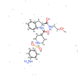 COCCNC(=O)[C@@H]1Cc2ccccc2N1C(=O)C1CCN(S(=O)(=O)c2ccc(N)cc2)CC1